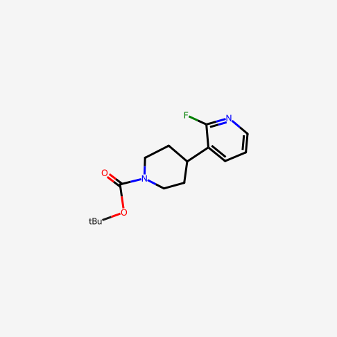 CC(C)(C)OC(=O)N1CCC(c2cccnc2F)CC1